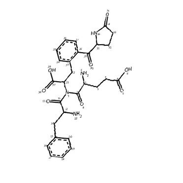 NC(CCC(=O)O)C(=O)N(C(=O)C(N)Cc1ccccc1)C(Cc1ccccc1C(=O)C1CCC(=O)N1)C(=O)O